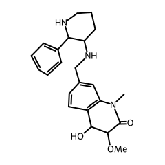 COC1C(=O)N(C)c2cc(CNC3CCCNC3c3ccccc3)ccc2C1O